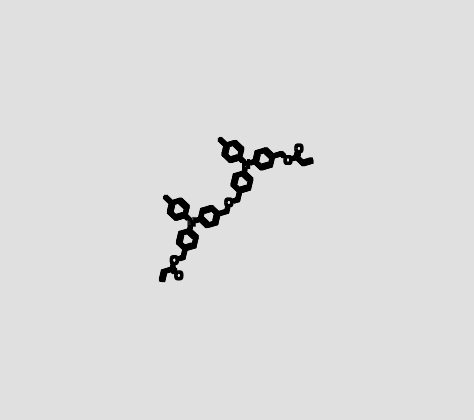 C=CC(=O)OCc1ccc(N(c2ccc(C)cc2)c2ccc(COCc3ccc(N(c4ccc(C)cc4)c4ccc(COC(=O)C=C)cc4)cc3)cc2)cc1